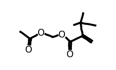 C=C(C(=O)OCOC(C)=O)C(C)(C)C